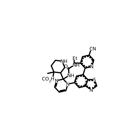 CCNC(=O)NC1(C2CNCCC2(C)C(=O)O)N=CC=CN1c1cc(-c2ncc(C#N)cc2C)c2scnc2c1